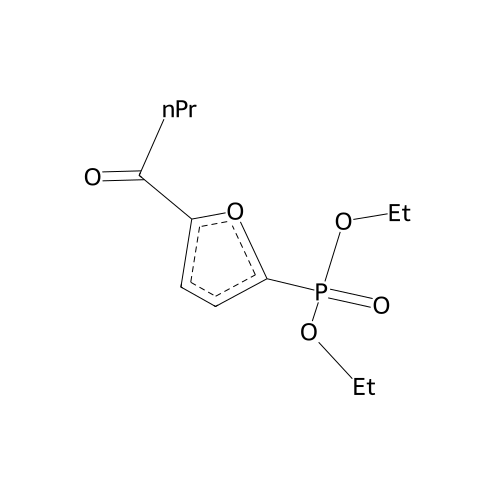 CCCC(=O)c1ccc(P(=O)(OCC)OCC)o1